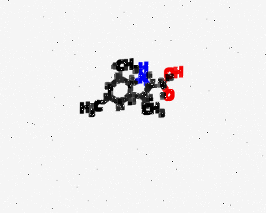 Cc1cc(C)c2[nH]c(C(=O)O)c(C)c2c1